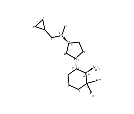 CN(CC1CC1)[C@H]1CCN([C@H]2CCCC(F)(F)[C@@H]2N)C1